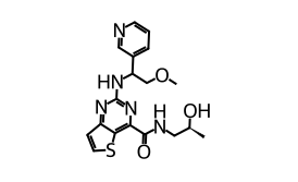 COCC(Nc1nc(C(=O)NC[C@H](C)O)c2sccc2n1)c1cccnc1